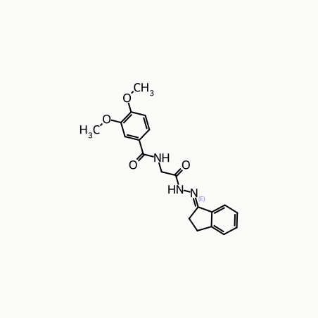 COc1ccc(C(=O)NCC(=O)N/N=C2\CCc3ccccc32)cc1OC